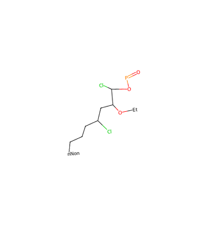 CCCCCCCCCCCCC(Cl)CC(OCC)C(Cl)OP=O